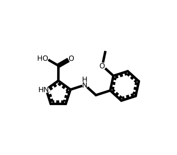 COc1ccccc1CNc1cc[nH]c1C(=O)O